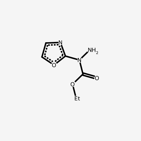 CCOC(=O)N(N)c1ncco1